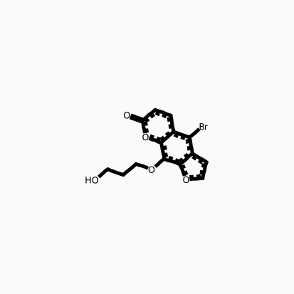 O=c1ccc2c(Br)c3ccoc3c(OCCCO)c2o1